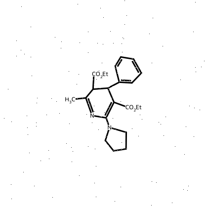 CCOC(=O)C1=C(N2CCCC2)N=C(C)C(C(=O)OCC)C1c1ccccc1